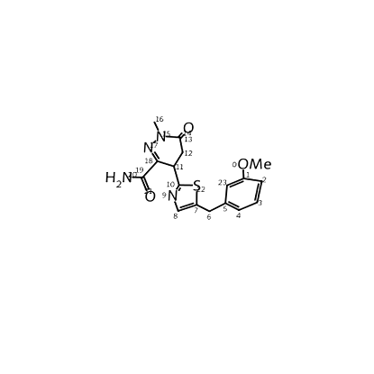 COc1cccc(Cc2cnc(C3CC(=O)N(C)N=C3C(N)=O)s2)c1